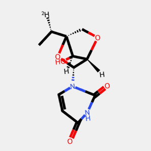 [2H][C@@H](C)[C@]12CO[C@H]([C@H](n3ccc(=O)[nH]c3=O)O1)[C@H]2O